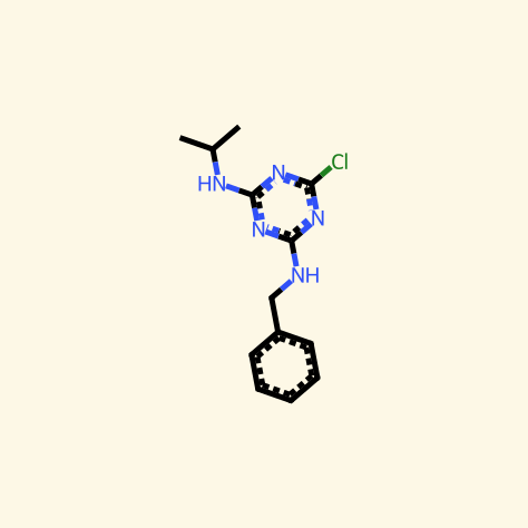 CC(C)Nc1nc(Cl)nc(NCc2ccccc2)n1